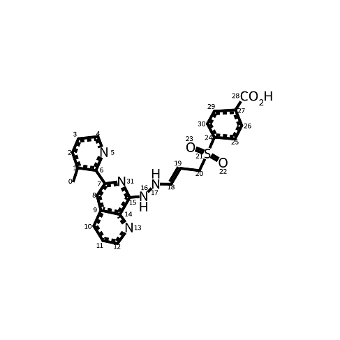 Cc1cccnc1-c1cc2cccnc2c(NNC=CCS(=O)(=O)c2ccc(C(=O)O)cc2)n1